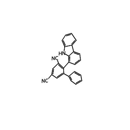 N#Cc1cc(C#N)c(-c2cccc3c2[nH]c2ccccc23)c(-c2ccccc2)c1